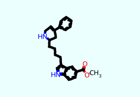 COC(=O)c1ccc2[nH]cc(CCCCC3CC(c4ccccc4)=CCN3)c2c1